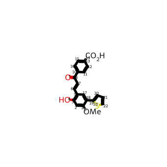 COc1cc(O)c(/C=C/C(=O)c2ccc(C(=O)O)cc2)cc1-c1cccs1